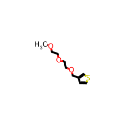 COCCOCCOCc1ccsc1